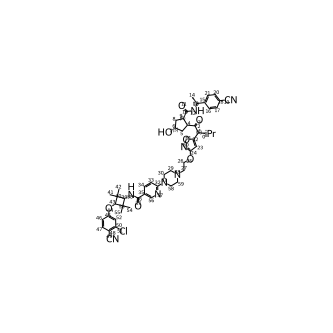 CC(C)[C@H](C(=O)C1C[C@H](O)C[C@H]1C(=O)N[C@@H](C)c1ccc(C#N)cc1)c1cc(OCCN2CCN(c3ccc(C(=O)N[C@H]4C(C)(C)[C@H](Oc5ccc(C#N)c(Cl)c5)C4(C)C)cn3)CC2)no1